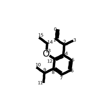 C=C[C](C)c1cccc(C(C)C)c1OCC